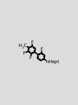 CCCCCCCc1ccc(-c2cc(F)c(C)c(F)c2F)c(F)c1